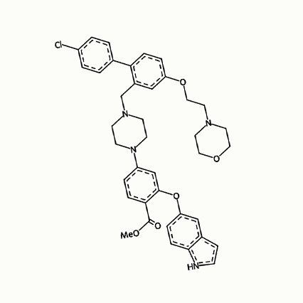 COC(=O)c1ccc(N2CCN(Cc3cc(OCCN4CCOCC4)ccc3-c3ccc(Cl)cc3)CC2)cc1Oc1ccc2[nH]ccc2c1